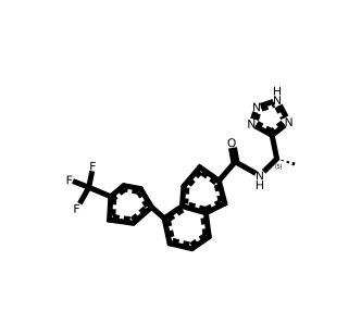 C[C@H](NC(=O)c1ccc2c(-c3ccc(C(F)(F)F)cc3)cccc2c1)c1nn[nH]n1